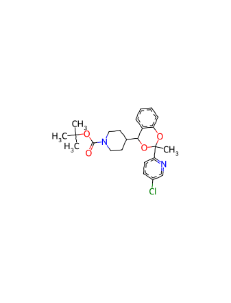 CC(C)(C)OC(=O)N1CCC(C2OC(C)(c3ccc(Cl)cn3)Oc3ccccc32)CC1